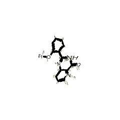 CCOc1ccccc1-c1nc2cccnc2c(=O)[nH]1